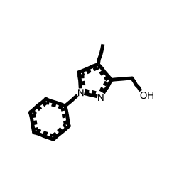 Cc1cn(-c2ccccc2)nc1CO